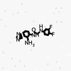 C1=CN2CN1C2.NCc1ccccc1NC(=O)CNc1ccc(F)c(F)c1